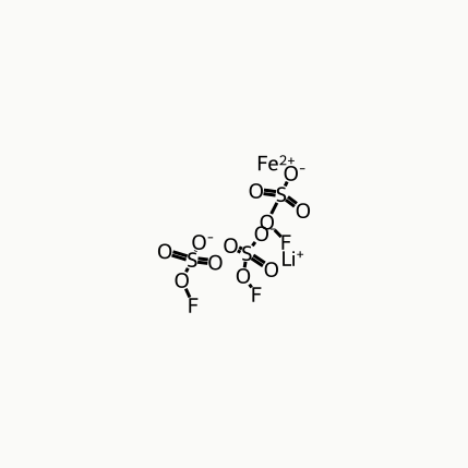 O=S(=O)([O-])OF.O=S(=O)([O-])OF.O=S(=O)([O-])OF.[Fe+2].[Li+]